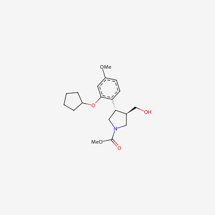 COC(=O)N1C[C@H](CO)[C@@H](c2ccc(OC)cc2OC2CCCC2)C1